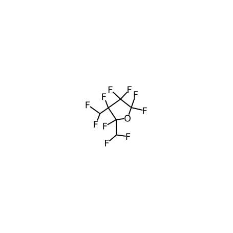 FC(F)C1(F)OC(F)(F)C(F)(F)C1(F)C(F)F